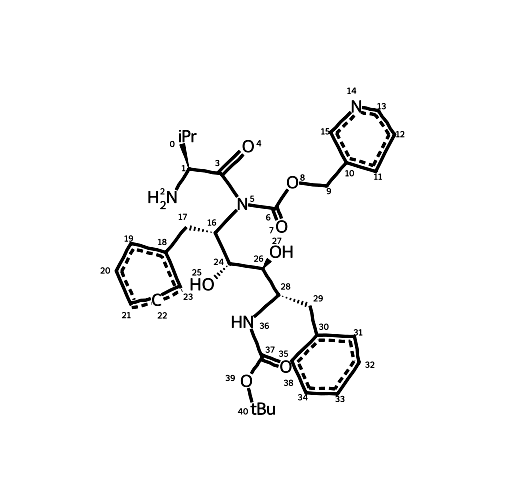 CC(C)[C@H](N)C(=O)N(C(=O)OCc1cccnc1)[C@@H](Cc1ccccc1)[C@@H](O)[C@@H](O)[C@H](Cc1ccccc1)NC(=O)OC(C)(C)C